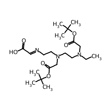 CCN(CCN(CCN=CC(=O)O)CC(=O)OC(C)(C)C)CC(=O)OC(C)(C)C